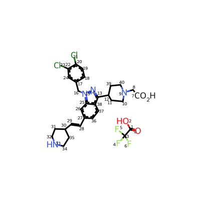 O=C(O)C(F)(F)F.O=C(O)CN1CCC(c2nn(Cc3ccc(Cl)c(Cl)c3)c3cc(C=CC4CCNCC4)ccc23)CC1